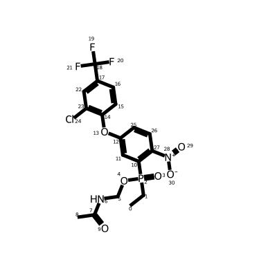 CCP(=O)(OCNC(C)=O)c1cc(Oc2ccc(C(F)(F)F)cc2Cl)ccc1[N+](=O)[O-]